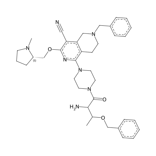 CC(OCc1ccccc1)C(N)C(=O)N1CCN(c2nc(OC[C@@H]3CCCN3C)c(C#N)c3c2CCN(Cc2ccccc2)C3)CC1